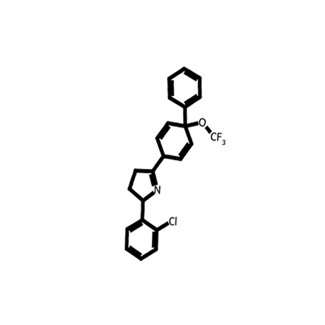 FC(F)(F)OC1(c2ccccc2)C=CC(C2=NC(c3ccccc3Cl)CC2)C=C1